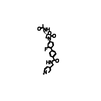 C=N/C=C\C(=C/C)CNC(=O)c1ccc(-c2ccc(N3C[C@H](CNC(C)=O)OC3=O)cc2F)cc1